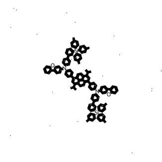 Cc1ccc([Si](c2ccc(C)cc2)(c2ccc(C)cc2)c2cccc(-c3ccc(N(c4ccc(-c5cc(C(C)C)c6ccc7c(-c8ccc(N(c9ccc(-c%10cccc([Si](c%11ccc(C)cc%11)(c%11ccc(C)cc%11)c%11ccc(C)cc%11)c%10)cc9)c9ccc%10c(c9)oc9ccccc9%10)cc8)cc(C(C)C)c8ccc5c6c78)cc4)c4ccc5c(c4)oc4ccccc45)cc3)c2)cc1